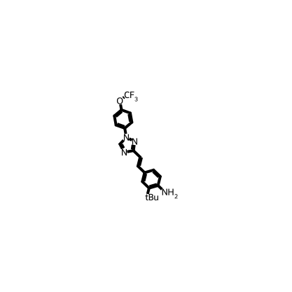 CC(C)(C)c1cc(/C=C/c2ncn(-c3ccc(OC(F)(F)F)cc3)n2)ccc1N